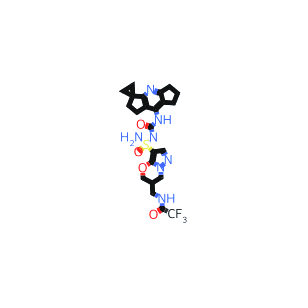 NS(=O)(=NC(=O)Nc1c2c(nc3c1CCC31CC1)CCC2)c1cnn2c1OCC(CNC(=O)C(F)(F)F)C2